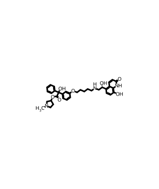 CN1CCC(OC(=O)C(O)(c2ccccc2)c2cccc(OCCCCCNC[C@H](O)c3ccc(O)c4[nH]c(=O)ccc34)c2)C1